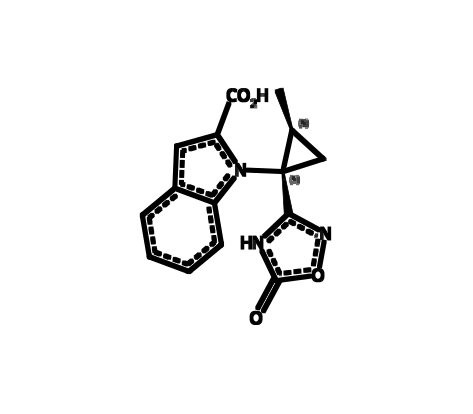 C[C@H]1C[C@]1(c1noc(=O)[nH]1)n1c(C(=O)O)cc2ccccc21